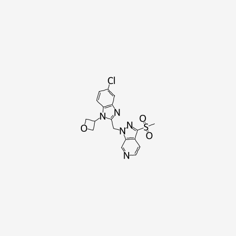 CS(=O)(=O)c1nn(Cc2nc3cc(Cl)ccc3n2C2COC2)c2cnccc12